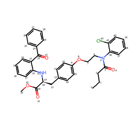 CCCC(=O)N(CCOc1ccc(C[C@H](Nc2ccccc2C(=O)c2ccccc2)C(=O)OC)cc1)c1ccccc1Cl